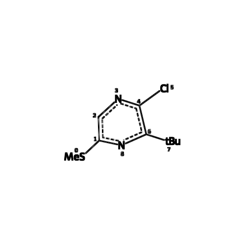 CSc1cnc(Cl)c(C(C)(C)C)n1